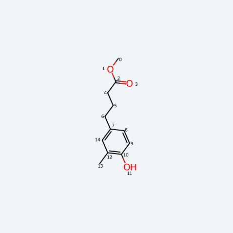 COC(=O)CCCc1ccc(O)c(C)c1